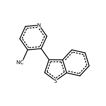 N#Cc1ccncc1-c1csc2ccccc12